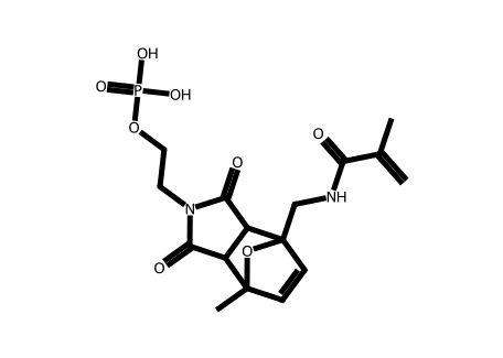 C=C(C)C(=O)NCC12C=CC(C)(O1)C1C(=O)N(CCOP(=O)(O)O)C(=O)C12